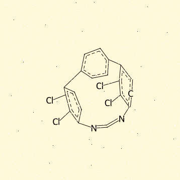 Clc1c2ccc(c1Cl)-c1ccc(cc1)-c1ccc(c(Cl)c1Cl)N=C=N2